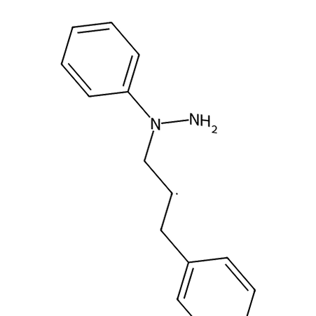 NN(C[CH]Cc1ccccc1)c1ccccc1